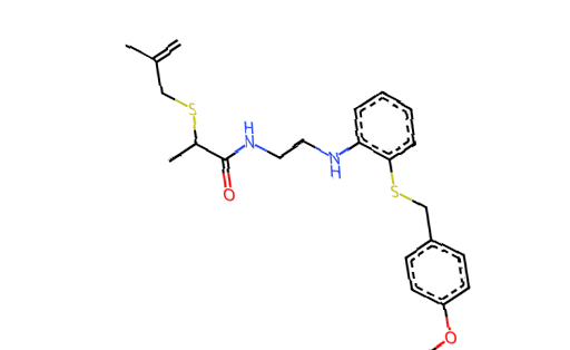 C=C(C)CSC(C)C(=O)NCCNc1ccccc1SCc1ccc(OC)cc1